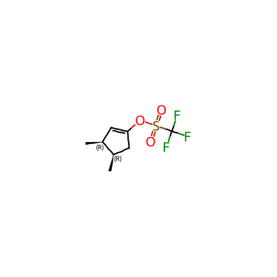 C[C@@H]1CC(OS(=O)(=O)C(F)(F)F)=C[C@@H]1C